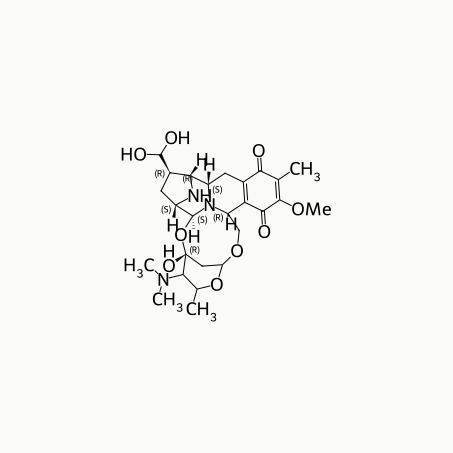 COC1=C(C)C(=O)C2=C(C1=O)[C@@H]1COC3C[C@@](O)(O[C@H]4[C@@H]5C[C@@H](C(O)O)[C@@H](N5)[C@H](C2)N14)C(N(C)C)C(C)O3